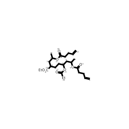 C=CCCC(=O)OC(C)CC(CCC(CC(C)OC(=O)CCC=C)C(=O)OCC)OC(=O)CC